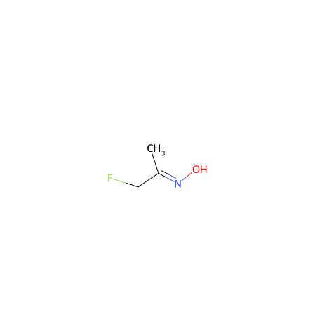 C/C(CF)=N\O